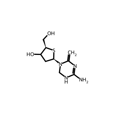 C=C1N=C(N)NCN1[C@H]1CC(O)[C@@H](CO)S1